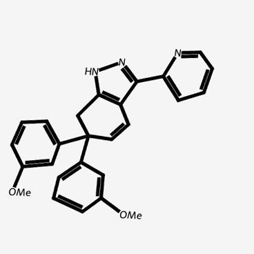 COc1cccc(C2(c3cccc(OC)c3)C=Cc3c(-c4ccccn4)n[nH]c3C2)c1